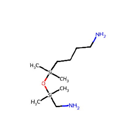 C[Si](C)(CN)O[Si](C)(C)CCCCN